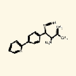 C=C(C)C(N)C(N=N)c1ccc(-c2ccccn2)cc1